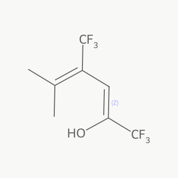 CC(C)=C(/C=C(\O)C(F)(F)F)C(F)(F)F